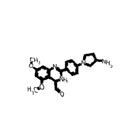 COc1cc2c(c(OC)c1)C(C=O)NC(c1ccc(N3CCC(N)C3)cc1)=N2